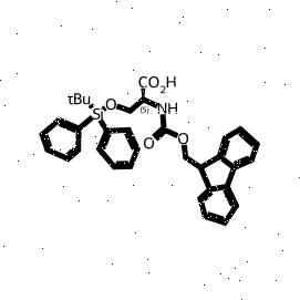 CC(C)(C)[Si](OC[C@H](NC(=O)OCC1c2ccccc2-c2ccccc21)C(=O)O)(c1ccccc1)c1ccccc1